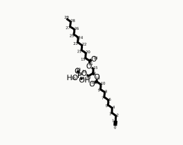 C#CCCCCCCCCCC(=O)OC(COC(=O)CCCCCCCCCCC)COP(=O)(O)O